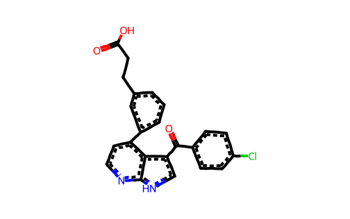 O=C(O)CCc1cccc(-c2ccnc3[nH]cc(C(=O)c4ccc(Cl)cc4)c23)c1